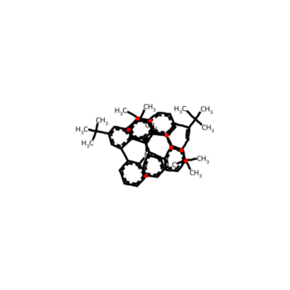 CC(C)(C)C1=CC(C(C)(C)C)CC(c2ccccc2N(c2ccccc2-c2cc(C(C)(C)C)cc(C(C)(C)C)c2)c2ccccc2-c2cccc3cccc(-c4ccccc4)c23)=C1